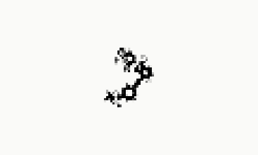 CC(C)(C)OC(=O)C1CCCC(C#Cc2cccc3c2CN(C2CCC(=O)NC2=O)C3=O)CC1